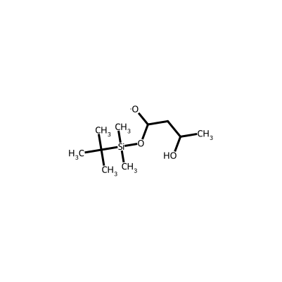 CC(O)CC([O])O[Si](C)(C)C(C)(C)C